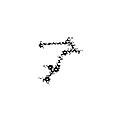 COC(=O)c1cc(NCc2nc(-c3cccc(C)n3)c(-c3ccc4ncc(OCCNC(=O)OCc5ccc(NC(=O)[C@H](CCCNC(N)=O)NC(=O)[C@@H](NC(=O)[C@H](CCC(=O)O)NC(=O)CCOCCOCCOCCOCCN6C(=O)C=CC6=O)C(C)C)cc5)nc4c3)[nH]2)ccc1C